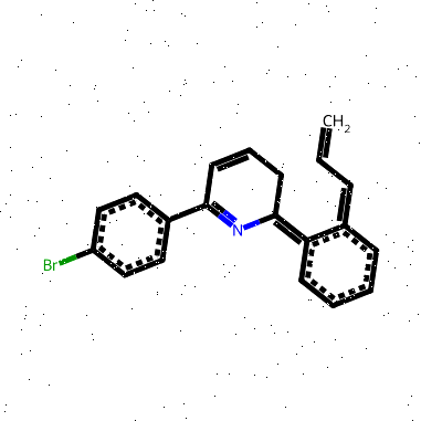 C=C/C=c1/cccc/c1=C1/CC=CC(c2ccc(Br)cc2)=N1